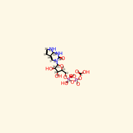 O=C(O)OP(=O)(O)OP(=O)(O)OCC1OC(N2C=C3C=CNC3NC2=O)C(O)C1O